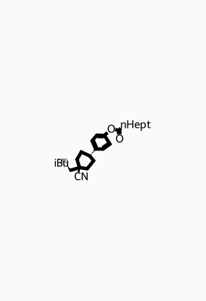 CCCCCCCC(=O)Oc1ccc([C@H]2CC[C@@](C#N)(C[C@H](C)CC)CC2)cc1